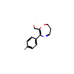 OCC1=C(c2ccc(Br)cc2)N=CCCO1